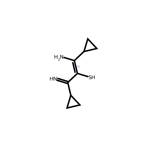 N=C(/C(S)=C(\N)C1CC1)C1CC1